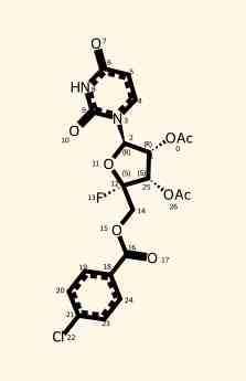 CC(=O)O[C@H]1[C@H](n2ccc(=O)[nH]c2=O)O[C@](F)(COC(=O)c2ccc(Cl)cc2)[C@H]1OC(C)=O